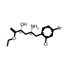 C=C(OCC)[C@H](O)C[C@H](N)Cc1ccc(Br)cc1Cl